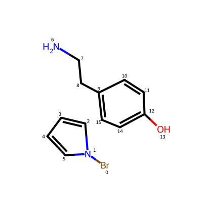 Brn1cccc1.NCCc1ccc(O)cc1